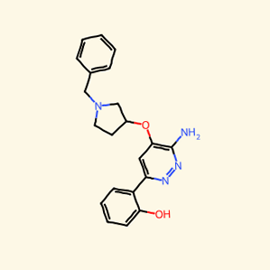 Nc1nnc(-c2ccccc2O)cc1OC1CCN(Cc2ccccc2)C1